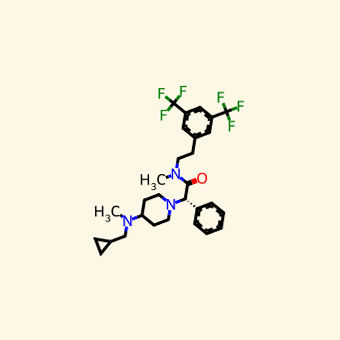 CN(CCc1cc(C(F)(F)F)cc(C(F)(F)F)c1)C(=O)[C@H](c1ccccc1)N1CCC(N(C)CC2CC2)CC1